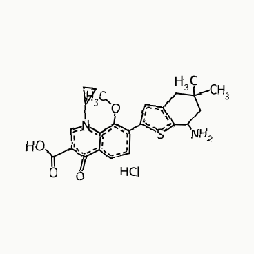 COc1c(-c2cc3c(s2)C(N)CC(C)(C)C3)ccc2c(=O)c(C(=O)O)cn(C3CC3)c12.Cl